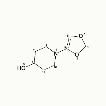 OC1CCN(C2=COCO2)CC1